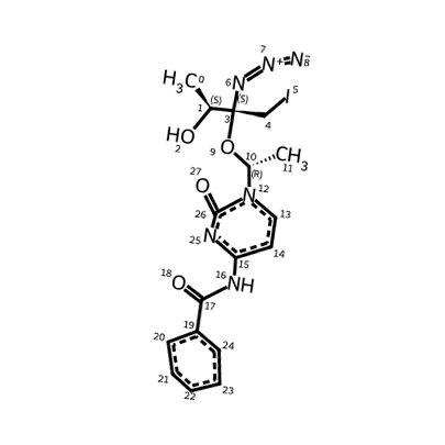 C[C@H](O)[C@](CI)(N=[N+]=[N-])O[C@H](C)n1ccc(NC(=O)c2ccccc2)nc1=O